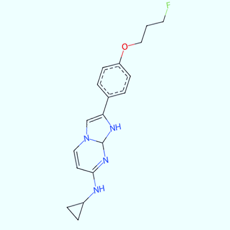 FCCCOc1ccc(C2=CN3C=CC(NC4CC4)=NC3N2)cc1